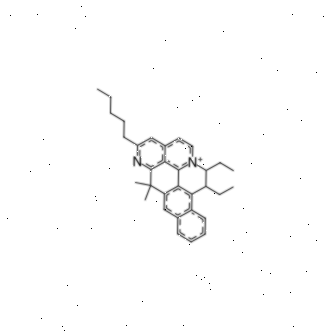 CCCCCc1cc2cc[n+]3c4c2c(n1)C(C)(C)c1cc2ccccc2c(c1-4)C(CC)C3CC